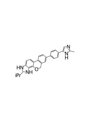 Cc1ncc(-c2ccc(-c3ccc4c(c3)COc3c-4ccc4c3NC(C(C)C)N4)cc2)[nH]1